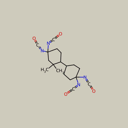 CC1(C)CC(N=C=O)(N=C=O)CCC1C1CCC(N=C=O)(N=C=O)CC1